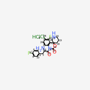 Cl.N[C@@H](Cc1ccc(F)cc1)C(=O)N1C(=O)O[C@]2(CCCNC2)c2c1ccc(Cl)c2F